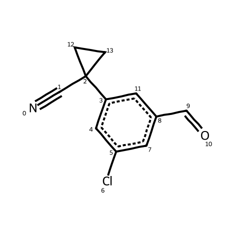 N#CC1(c2cc(Cl)cc(C=O)c2)CC1